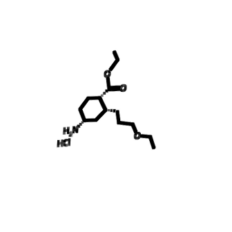 CCOCCC[C@@H]1C[C@H](N)CC[C@@H]1C(=O)OCC.Cl